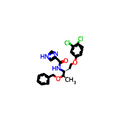 C[C@H](OCc1ccccc1)[C@@H](CCOc1ccc(Cl)c(Cl)c1)NC(=O)c1c[nH]cn1